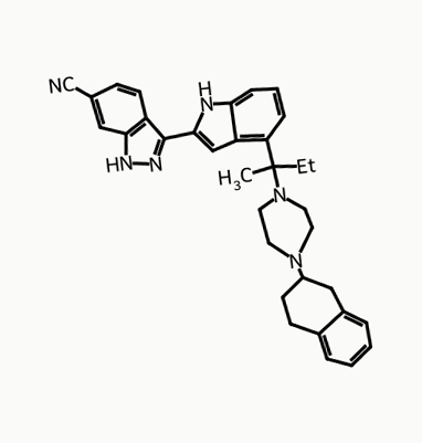 CCC(C)(c1cccc2[nH]c(-c3n[nH]c4cc(C#N)ccc34)cc12)N1CCN(C2CCc3ccccc3C2)CC1